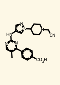 Cc1cnc(Nc2cnn(C3CCN(CC#N)CC3)c2)nc1-c1ccc(C(=O)O)cc1